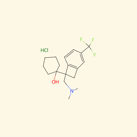 CN(C)CC1(C2(O)CCCCC2)Cc2cc(C(F)(F)F)ccc21.Cl